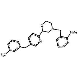 CNc1ncccc1CN1CCOC(c2ccc(Cc3cccc(C(F)(F)F)c3)cn2)C1